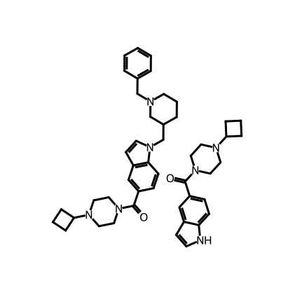 O=C(c1ccc2[nH]ccc2c1)N1CCN(C2CCC2)CC1.O=C(c1ccc2c(ccn2CC2CCCN(Cc3ccccc3)C2)c1)N1CCN(C2CCC2)CC1